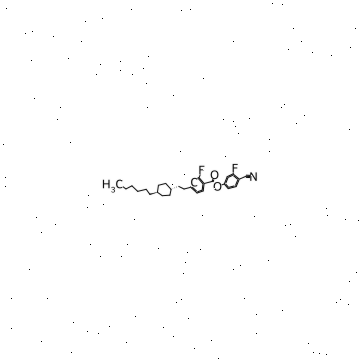 CCCCCC[C@H]1CC[C@H](CCc2ccc(C(=O)Oc3ccc(C#N)c(F)c3)c(F)c2)CC1